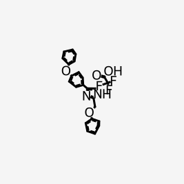 O=C(O)C(F)(F)F.c1ccc(OCc2nc(-c3ccc(Oc4ccccc4)cc3)c[nH]2)cc1